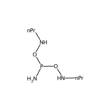 CCCNOP(N)ONCCC